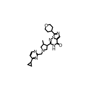 CC1CN(Cc2nccc(C3CC3)n2)CC1c1nn2c(C3CCOCC3)ncc2c(=O)[nH]1